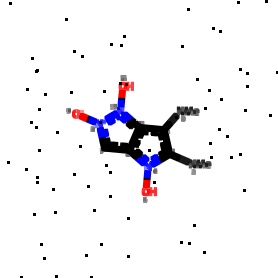 CNc1c(NC)n(O)c2c[n+]([O-])n(O)c12